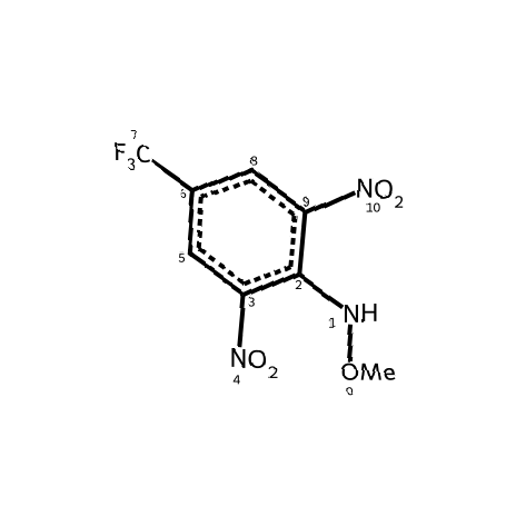 CONc1c([N+](=O)[O-])cc(C(F)(F)F)cc1[N+](=O)[O-]